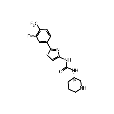 O=C(Nc1csc(-c2ccc(C(F)(F)F)c(F)c2)n1)N[C@H]1CCCNC1